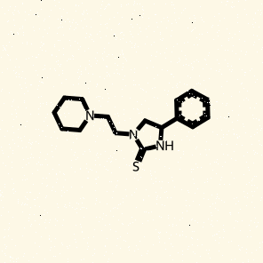 S=C1NC(c2ccccc2)CN1CCN1CCCCC1